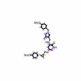 COc1ccc(Cn2cc(CNc3cc(OC[C@H]4C[C@@H]4c4ccc(OC)cn4)n[nH]c3=O)c(C)n2)cc1